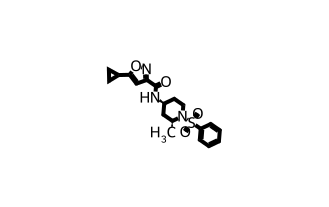 C[C@@H]1C[C@@H](NC(=O)c2cc(C3CC3)on2)CCN1S(=O)(=O)c1ccccc1